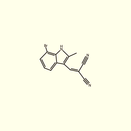 Cc1[nH]c2c(Br)cccc2c1C=C(C#N)C#N